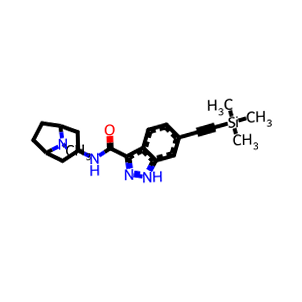 CN1C2CCC1CC(NC(=O)c1n[nH]c3cc(C#C[Si](C)(C)C)ccc13)C2